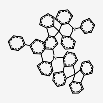 c1ccc(-c2cccc(-c3ccccc3N(c3ccc4c(c3)C3(c5ccccc5-4)c4ccccc4N(c4ccccc4)c4ccccc43)c3cccc4c3-c3ccccc3C43c4ccccc4-c4ccccc43)c2)cc1